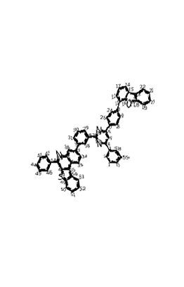 c1ccc(-c2cc(-c3ccc(-c4cccc5c4oc4ccccc45)cc3)nc(-c3cccc(-c4ccc5c(c4)nc(-c4ccccc4)c4sc6ccccc6c45)c3)n2)cc1